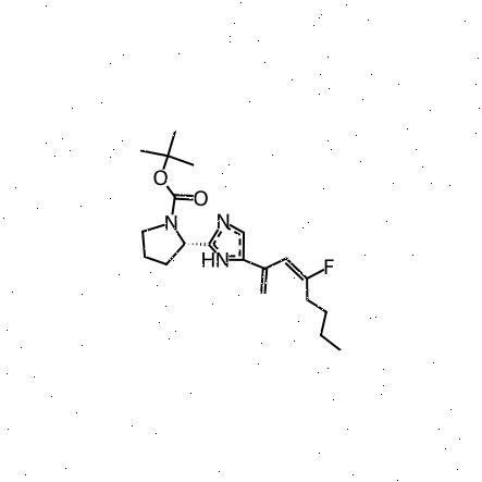 C=C(/C=C(/F)CCCC)c1cnc([C@@H]2CCCN2C(=O)OC(C)(C)C)[nH]1